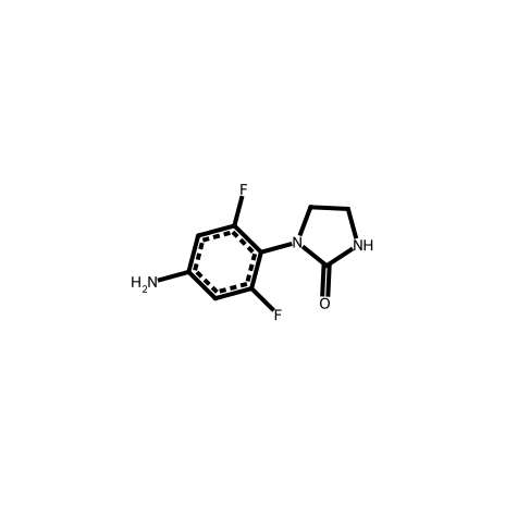 Nc1cc(F)c(N2CCNC2=O)c(F)c1